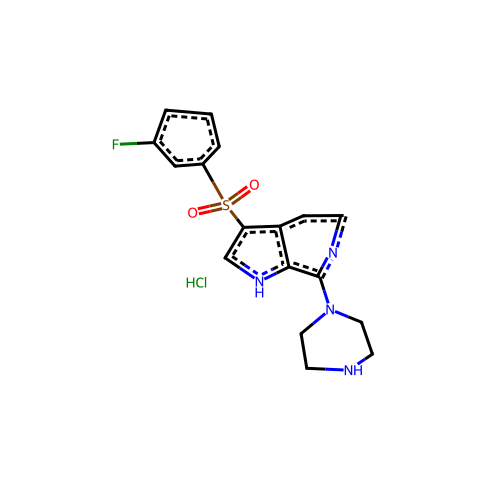 Cl.O=S(=O)(c1cccc(F)c1)c1c[nH]c2c(N3CCNCC3)nccc12